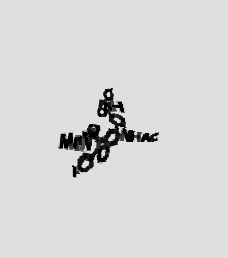 CNC(=O)c1c(-c2ccc(F)cc2)oc2cc(NC(C)=O)c(-c3cccc(C(=O)NC4(c5ccccc5)CC4)c3)cc12